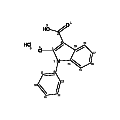 Cl.O=C(O)c1c(Cl)n(-c2ccccc2)c2ccccc12